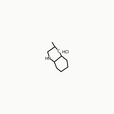 CC1CNC2CCCCC2C1.Cl